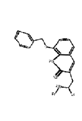 CCC(Cc1cc2cccc(OCc3ccccc3)c2[nH]c1=O)NC(C)C